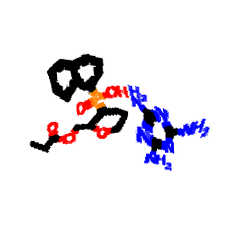 CCC(=O)OCC1OCCC1P(=O)(O)c1cccc2ccccc12.Nc1nc(N)nc(N)n1